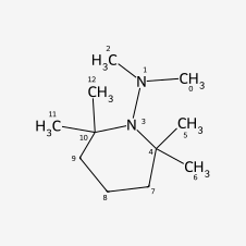 CN(C)N1C(C)(C)CCCC1(C)C